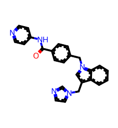 O=C(Nc1ccncc1)c1ccc(Cn2cc(Cn3ccnc3)c3ccccc32)cc1